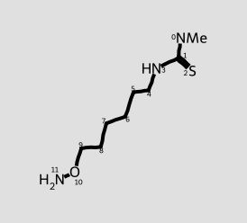 CNC(=S)NCCCCCCON